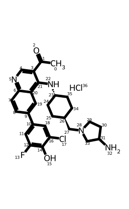 CC(=O)c1cnc2ccc(-c3cc(F)c(O)c(Cl)c3)cc2c1N[C@H]1CC[C@H](CN2CCC(N)C2)CC1.Cl